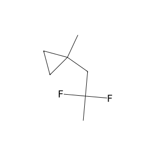 CC(F)(F)CC1(C)CC1